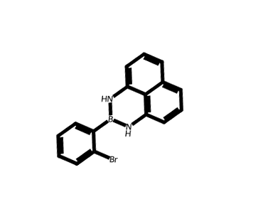 Brc1ccccc1B1Nc2cccc3cccc(c23)N1